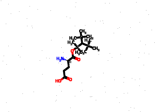 C[Si](C)(C)C([Si](C)(C)C)[Si](C)(C)OC(=O)[C@@H](N)CCC(=O)O